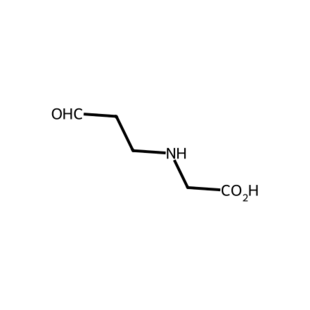 O=CCCNCC(=O)O